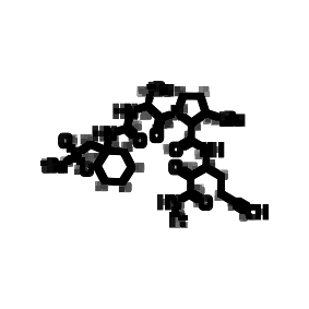 C#CCCC(NC(=O)C1C(C(C)(C)C)CCN1C(=O)[C@@H](NC(=O)NC1(CS(=O)(=O)C(C)(C)C)CCCCC1)C(C)(C)C)C(=O)C(=O)NCC